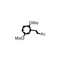 COc1ccc(OC)c(C=CC(C)=O)c1